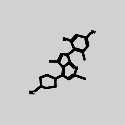 Cc1cc(N2CCC(C#N)CC2)c2c(C)cn(-c3c(C)cc(C(C)C)cc3Br)c2n1